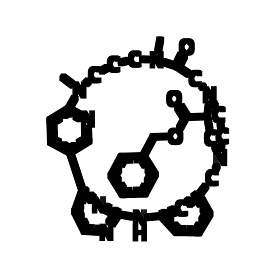 CN1CCCN(C)c2ccc(cn2)-c2ccnc(n2)Nc2cccc(c2)CN2CCN(CC1=O)C(C(=O)OCc1ccccc1)C2